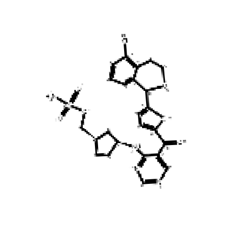 NS(=O)(=O)OC[C@@H]1CC[C@H](Nc2ncncc2C(=O)c2ccc(C3OCCc4c(Cl)cccc43)s2)C1